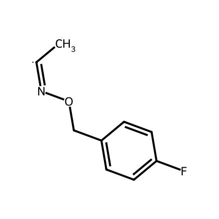 C/[C]=N\OCc1ccc(F)cc1